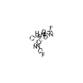 Cc1cc2c(cnn2-c2ccc(F)cc2)cc1[C@@]12CN(S(=O)(=O)c3cncc(F)c3)C[C@@H]1[C@H]2c1ccccc1